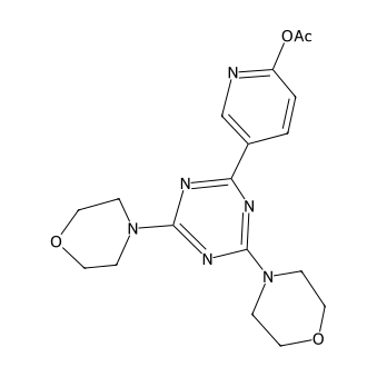 CC(=O)Oc1ccc(-c2nc(N3CCOCC3)nc(N3CCOCC3)n2)cn1